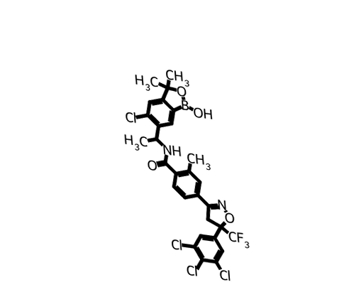 Cc1cc(C2=NOC(c3cc(Cl)c(Cl)c(Cl)c3)(C(F)(F)F)C2)ccc1C(=O)NC(C)c1cc2c(cc1Cl)C(C)(C)OB2O